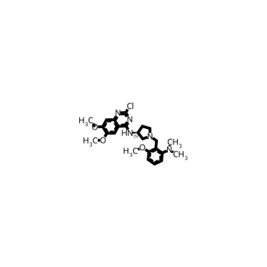 COc1cc2nc(Cl)nc(N[C@H]3CCN(Cc4c(OC)cccc4N(C)C)C3)c2cc1OC